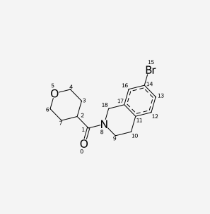 O=C(C1CCOCC1)N1CCc2ccc(Br)cc2C1